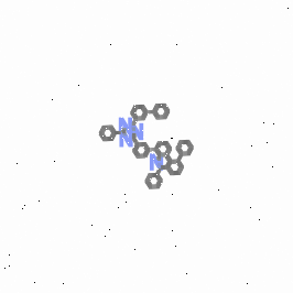 c1ccc(-c2cccc(-c3nc(-c4ccccc4)nc(-c4cccc(-c5cccc6c5nc(-c5ccccc5)c5cccc(-c7ccccc7)c56)c4)n3)c2)cc1